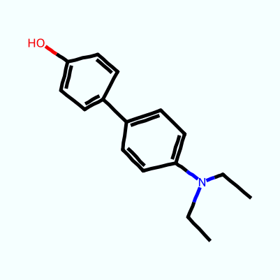 CCN(CC)c1ccc(-c2ccc(O)cc2)cc1